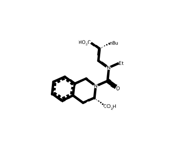 CCCC[C@H](CN(CC)C(=O)N1Cc2ccccc2C[C@H]1C(=O)O)C(=O)O